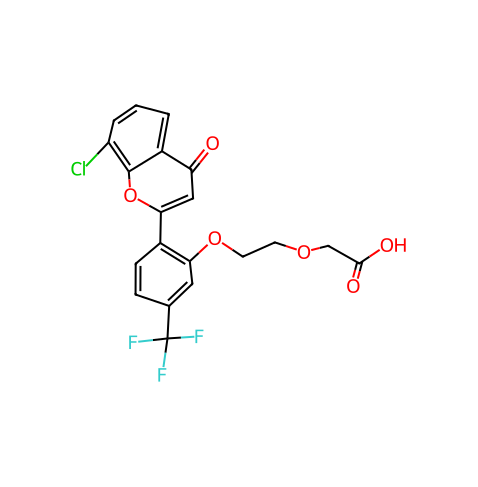 O=C(O)COCCOc1cc(C(F)(F)F)ccc1-c1cc(=O)c2cccc(Cl)c2o1